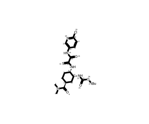 CN(C)C(=O)[C@H]1CC[C@H](NC(=S)C(=O)Nc2ccc(Cl)nc2)[C@H](NC(=O)OC(C)(C)C)C1